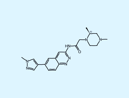 C[C@H]1CN(C)CCN1CC(=O)Nc1cc2cc(-c3cnn(C)c3)ccc2nn1